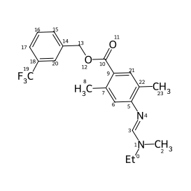 CCN(C)C=Nc1cc(C)c(C(=O)OCc2cccc(C(F)(F)F)c2)cc1C